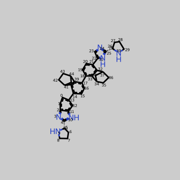 c1cc2nc([C@@H]3CCCN3)[nH]c2cc1-c1ccc(-c2ccc(-c3cnc([C@@H]4CCCN4)[nH]3)c3c2C2CCC3C2)c2c1C1CCC2C1